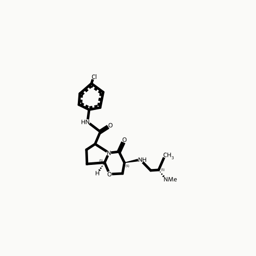 CN[C@@H](C)CN[C@H]1CO[C@H]2CCC(C(=O)Nc3ccc(Cl)cc3)N2C1=O